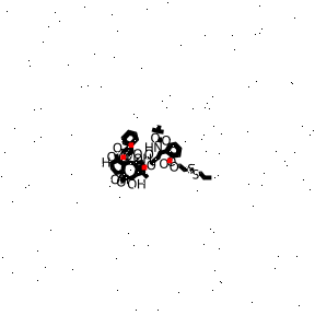 CCCSSCCOC(=O)O[C@@H](C(=O)O[C@H]1C[C@@]2(O)[C@@H](OC(=O)c3ccccc3)[C@@H]3[C@]4(OC(C)=O)CO[C@@H]4C[C@H](O)[C@@]3(C)C(=O)[C@H](O)C(=C1C)C2(C)C)[C@@H](NC(=O)OC(C)(C)C)c1ccccc1